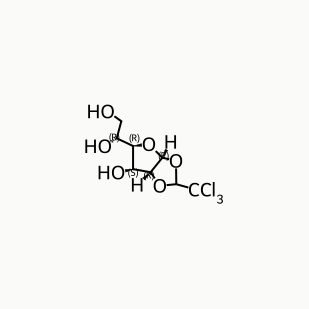 OC[C@@H](O)[C@H]1O[C@@H]2OC(C(Cl)(Cl)Cl)O[C@@H]2[C@H]1O